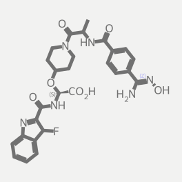 CC(NC(=O)c1ccc(/C(N)=N/O)cc1)C(=O)N1CCC(O[C@H](NC(=O)C2=Nc3ccccc3C2F)C(=O)O)CC1